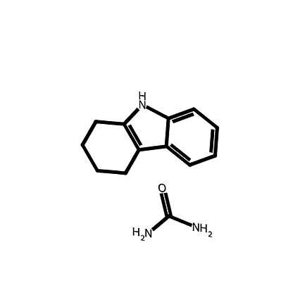 NC(N)=O.c1ccc2c3c([nH]c2c1)CCCC3